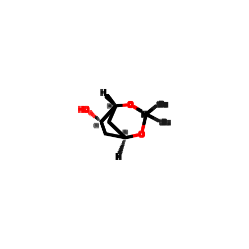 CC(C)(C)[Si]1(C(C)(C)C)O[C@H]2C[C@H](O)[C@@H](C2)O1